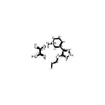 CCCOc1nsnc1C1=CCCN(C)C1.O=C(O)C(=O)O